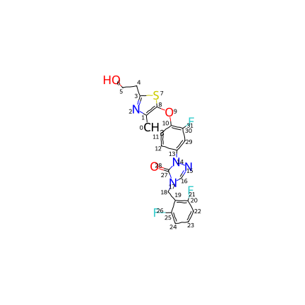 Cc1nc(CCO)sc1Oc1ccc(-n2ncn(Cc3c(F)cccc3F)c2=O)cc1F